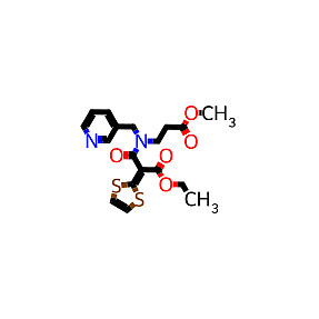 CCOC(=O)C(C(=O)N(CCC(=O)OC)Cc1cccnc1)=C1SC=CS1